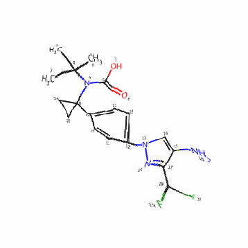 CC(C)(C)N(C(=O)O)C1(c2ccc(-n3cc(N)c(C(F)F)n3)cc2)CC1